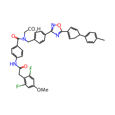 COc1cc(F)c(CC(=O)Nc2ccc(C(=O)N(CC(=O)O)Cc3ccc(-c4noc(C5=CCC(c6ccc(C)cc6)C=C5)n4)cc3)cc2)c(F)c1